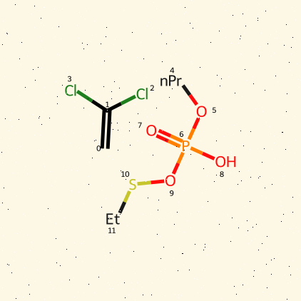 C=C(Cl)Cl.CCCOP(=O)(O)OSCC